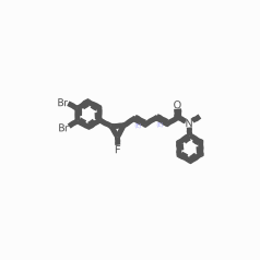 CN(C(=O)/C=C/C=C/C1C(F)C1c1ccc(Br)c(Br)c1)c1ccccc1